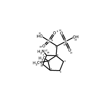 CC1(C)C2CCC1(C(S(=O)(=O)O)S(=O)(=O)O)C(N)C2